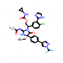 CC(C)(C)C[C@]1(c2ccc(-c3cnn(C(F)F)c3)cc2)NC(=NC(=O)C(F)(F)F)N(C(COC(=O)NC2CC2)c2ccc(Cl)c(-c3ncc[nH]3)c2)C1=O